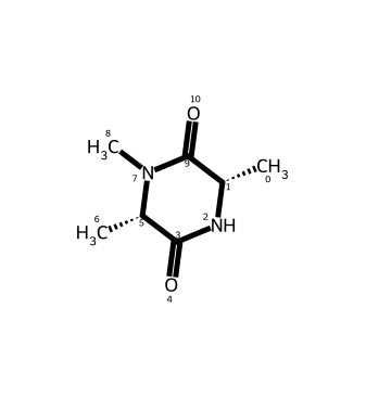 C[C@@H]1NC(=O)[C@H](C)N(C)C1=O